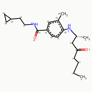 CCCCC(=O)C[C@@H](C)Nc1ccc(C(=O)NCCC2CC2)cc1C